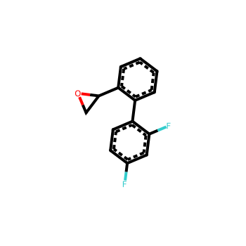 Fc1ccc(-c2ccccc2C2CO2)c(F)c1